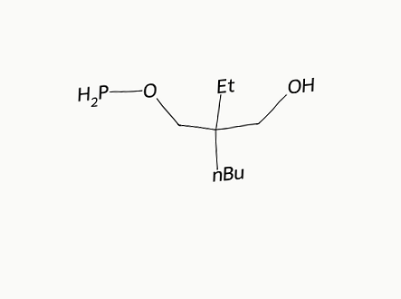 CCCCC(CC)(CO)COP